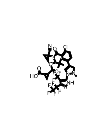 CN1CC(c2ccc(Cl)c(C(=O)N(C(OC(=O)C3CC3C(=O)O)C(C)(C)C)C3(C#N)CC3)c2)=CN1c1[nH]nc(C(F)(F)C(F)(F)F)c1C(F)(F)F